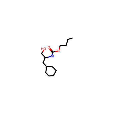 CCCCOC(=O)NC(CO)CC1CCCCC1